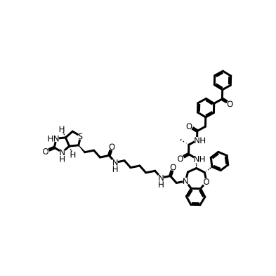 C[C@H](NC(=O)Cc1cccc(C(=O)c2ccccc2)c1)C(=O)N[C@H]1CN(CC(=O)NCCCCCNC(=O)CCC[C@@H]2SC[C@@H]3NC(=O)N[C@@H]32)c2ccccc2O[C@H]1c1ccccc1